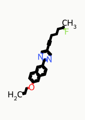 C=CCOc1ccc2cc(-c3ncc(C#CCCCC(C)F)cn3)ccc2c1